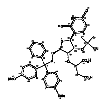 COc1ccc(C(OC[C@H]2O[C@@H](n3ccc(=O)[nH]c3=O)[C@H](O[Si](C)(C)C(C)(C)C)C2OC(CC(=O)O)C(=O)O)(c2ccccc2)c2ccc(OC)cc2)cc1